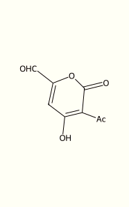 CC(=O)c1c(O)cc(C=O)oc1=O